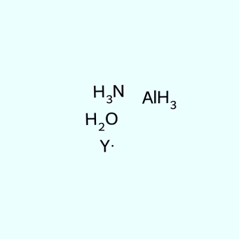 N.O.[AlH3].[Y]